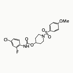 COc1ccc(S(=O)(=O)N2CCC(OC(=O)Nc3ccc(Cl)cc3F)CC2)cc1